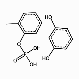 Cc1ccccc1OP(=O)(O)O.Oc1cccc(O)c1